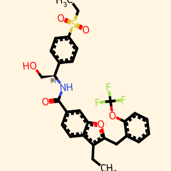 CCc1c(Cc2ccccc2OC(F)(F)F)oc2cc(C(=O)N[C@@H](CO)c3ccc(S(=O)(=O)CC)cc3)ccc12